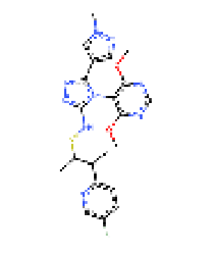 COc1ncnc(OC)c1-n1c(NSC(C)C(C)c2ccc(Cl)cn2)nnc1-c1cnn(C)c1